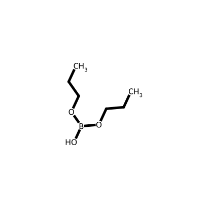 CCCOB(O)OCCC